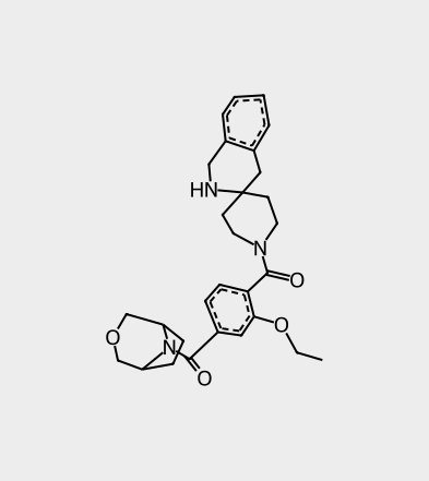 CCOc1cc(C(=O)N2C3CCC2COC3)ccc1C(=O)N1CCC2(CC1)Cc1ccccc1CN2